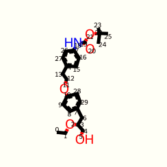 CCOC(CO)Cc1ccc(OCCc2ccc(NC(=O)OC(C)(C)C)cc2)cc1